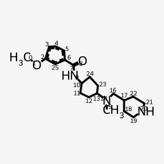 COc1cccc(C(=O)NC2CCC(N(C)CC3CCNCC3)CC2)c1